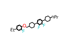 CCCC1CCC(c2ccc(C3CCC(COc4ccc(CC)cc4F)CC3)c(F)c2F)CC1